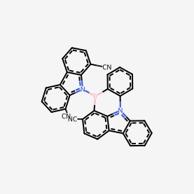 N#Cc1ccc2c3ccccc3n3c2c1B(n1c2c(C#N)cccc2c2cccc(C#N)c21)c1ccccc1-3